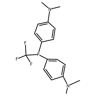 CN(C)c1ccc(P(c2ccc(N(C)C)cc2)C(F)(F)F)cc1